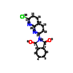 O=C1c2ccccc2C(=O)N1c1ccc2ccc(Cl)nc2n1